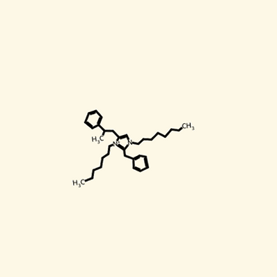 CCCCCCCCn1cc(CC(C)c2ccccc2)[n+](CCCCCCC)c1Cc1ccccc1